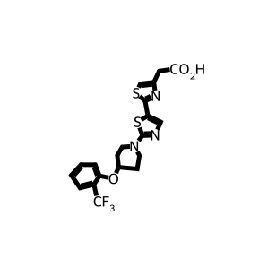 O=C(O)Cc1csc(-c2cnc(N3CCC(Oc4ccccc4C(F)(F)F)CC3)s2)n1